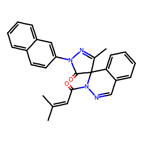 CC(C)=CC(=O)N1N=Cc2ccccc2C12C(=O)N(c1ccc3ccccc3c1)N=C2C